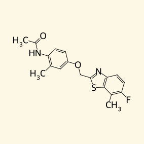 CC(=O)Nc1ccc(OCc2nc3ccc(F)c(C)c3s2)cc1C